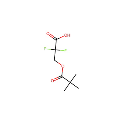 CC(C)(C)C(=O)OCC(F)(F)C(=O)O